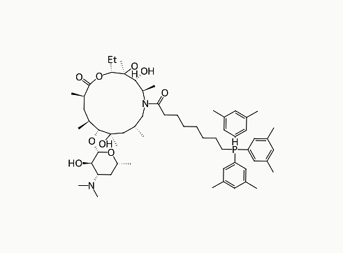 CC[C@H]1OC(=O)[C@H](C)C[C@H](C)[C@@H](O[C@@H]2O[C@H](C)C[C@H](N(C)C)[C@H]2O)[C@](C)(O)C[C@@H](C)CN(C(=O)CCCCCCC[PH](c2cc(C)cc(C)c2)(c2cc(C)cc(C)c2)c2cc(C)cc(C)c2)[C@H](C)[C@@H](O)[C@]1(C)O